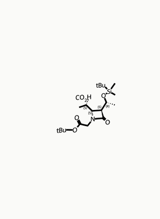 C[C@H](C(=O)O)[C@@H]1[C@@H]([C@@H](C)O[Si](C)(C)C(C)(C)C)C(=O)N1CC(=O)OC(C)(C)C